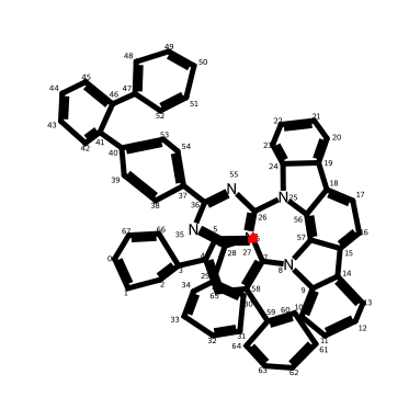 c1ccc(-c2ccc(-n3c4ccccc4c4ccc5c6ccccc6n(-c6nc(-c7ccccc7)nc(-c7ccc(-c8ccccc8-c8ccccc8)cc7)n6)c5c43)c(-c3ccccc3)c2)cc1